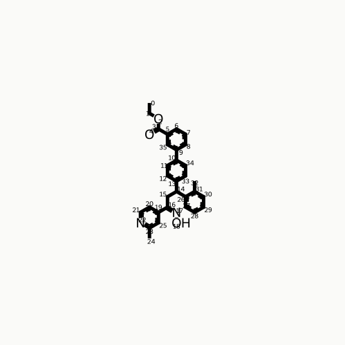 CCOC(=O)c1cccc(-c2ccc(C(CC(=NO)c3ccnc(C)c3)c3ccccc3C)cc2)c1